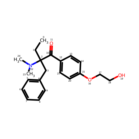 CCC(Cc1ccccc1)(C(=O)c1ccc(OCCO)cc1)N(C)C